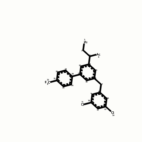 CC(=O)C(CC(C)C)c1cc(Cc2cc(Cl)cc(Cl)c2)cc(-c2ccc(C(F)(F)F)cc2)c1